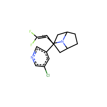 N#CC1(c2cncc(Cl)c2)CC2CCC(C1)N2CC=C(F)F